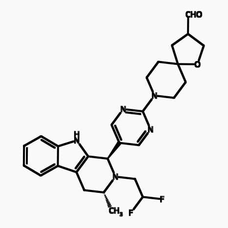 C[C@@H]1Cc2c([nH]c3ccccc23)[C@@H](c2cnc(N3CCC4(CC3)CC(C=O)CO4)nc2)N1CC(F)F